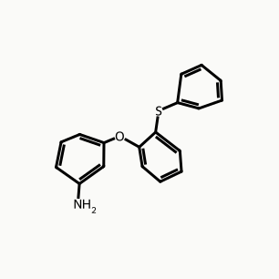 Nc1cccc(Oc2ccccc2Sc2ccccc2)c1